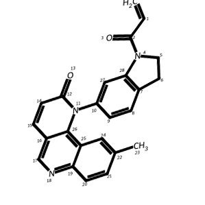 C=CC(=O)N1CCc2ccc(-n3c(=O)ccc4cnc5ccc(C)cc5c43)cc21